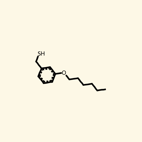 CCCCCCOc1cccc(CS)c1